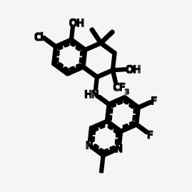 Cc1ncc2c(NC3c4ccc(Cl)c(O)c4C(C)(C)CC3(O)C(F)(F)F)cc(F)c(F)c2n1